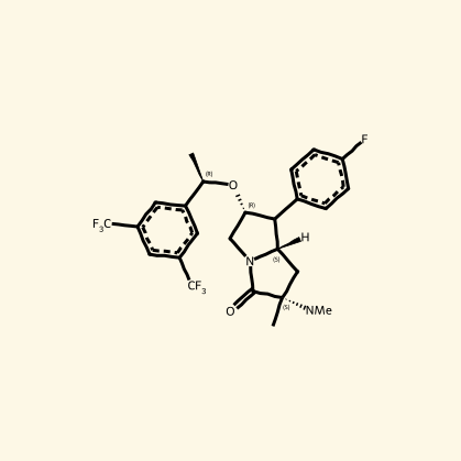 CN[C@@]1(C)C[C@H]2C(c3ccc(F)cc3)[C@@H](O[C@H](C)c3cc(C(F)(F)F)cc(C(F)(F)F)c3)CN2C1=O